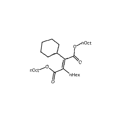 CCCCCCCCOC(=O)C(CCCCCC)=C(C(=O)OCCCCCCCC)C1CCCCC1